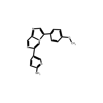 COc1ccc(-c2cnc3cnc(-c4ccc(N)nc4)cn23)cc1